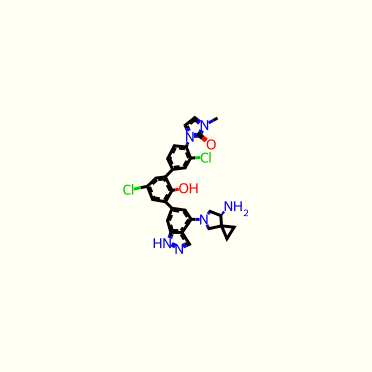 Cn1ccn(-c2ccc(-c3cc(Cl)cc(-c4cc(N5C[C@@H](N)C6(CC6)C5)c5cn[nH]c5c4)c3O)cc2Cl)c1=O